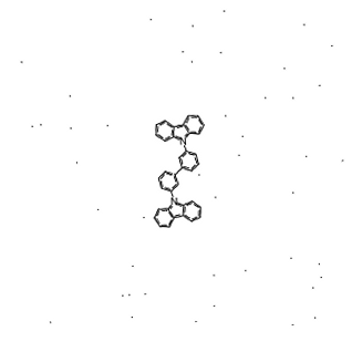 c1cc(-c2cccc(-n3c4ccccc4c4ccccc43)c2)cc(-n2c3ccccc3c3ccccc32)c1